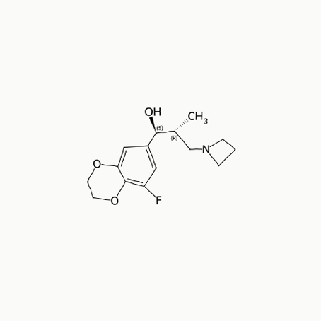 C[C@H](CN1CCC1)[C@H](O)c1cc(F)c2c(c1)OCCO2